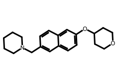 c1cc2cc(OC3CCOCC3)ccc2cc1CN1CCCCC1